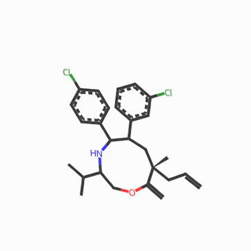 C=CC[C@@]1(C)CC(c2cccc(Cl)c2)C(c2ccc(Cl)cc2)NC(C(C)C)COC1=C